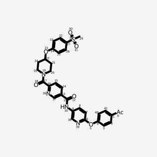 CC(=O)c1ccc(Oc2ccc(NC(=O)c3ccc(C(=O)N4CCC(Oc5ccc(S(C)(=O)=O)cc5)CC4)nc3)cn2)cc1